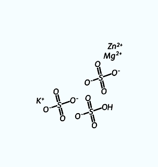 O=S(=O)([O-])O.O=S(=O)([O-])[O-].O=S(=O)([O-])[O-].[K+].[Mg+2].[Zn+2]